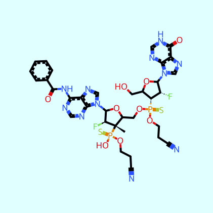 C[C@]1(P(O)(=S)OCCC#N)C(COP(=S)(OCCC#N)[C@@H]2C(CO)OC(n3cnc4c(=O)[nH]cnc43)[C@@H]2F)OC(n2cnc3c(NC(=O)c4ccccc4)ncnc32)[C@@H]1F